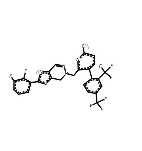 Cc1ccc(-c2ccc(C(F)(F)F)cc2C(F)(F)F)c(CN2Cc3nc(-c4cccc(F)c4F)[nH]c3C=N2)n1